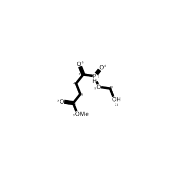 COC(=O)CCC(=O)[PH](=O)OCO